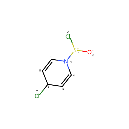 [O-][S+](Cl)N1C=CC(Cl)C=C1